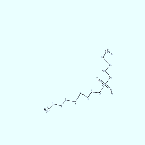 CCCCCCCCCS(=O)(=O)CCCCC